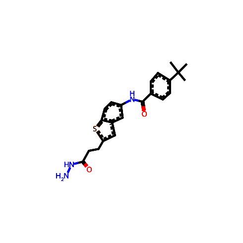 CC(C)(C)c1ccc(C(=O)Nc2ccc3sc(CCC(=O)NN)cc3c2)cc1